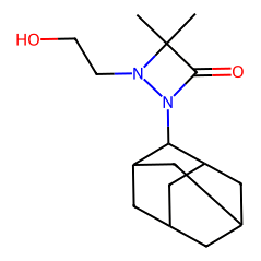 CC1(C)C(=O)N(C2C3CC4CC(C3)CC2C4)N1CCO